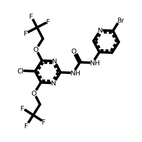 O=C(Nc1ccc(Br)nc1)Nc1nc(OCC(F)(F)F)c(Cl)c(OCC(F)(F)F)n1